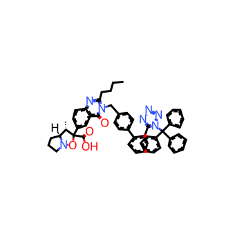 CCCCc1nc2ccc(C3(C(=O)O)ON4CCC[C@H]4[C@@H]3C)cc2c(=O)n1Cc1ccc(-c2ccccc2-c2nnnn2C(c2ccccc2)(c2ccccc2)c2ccccc2)cc1